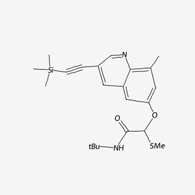 CSC(Oc1cc(C)c2ncc(C#C[Si](C)(C)C)cc2c1)C(=O)NC(C)(C)C